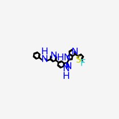 Fc1ccc(-c2nccc3[nH]c(-c4n[nH]c5ccc(-c6cncc(CNCc7ccccc7)c6)cc45)cc23)s1